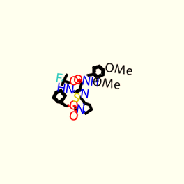 COc1ccc(CNC(=O)c2nc(C3CCCN3C(=O)OCc3ccccc3)sc2NC(=O)C(C)(C)F)c(OC)c1